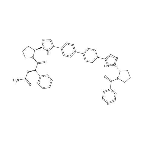 NC(=O)O[C@@H](C(=O)N1CCC[C@H]1c1ncc(-c2ccc(-c3ccc(-c4cnc([C@@H]5CCCN5C(=O)c5ccncc5)[nH]4)cc3)cc2)[nH]1)c1ccccc1